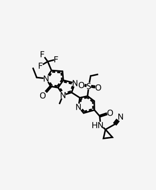 CCn1c(C(F)(F)F)cc2nc(-c3ncc(C(=O)NC4(C#N)CC4)cc3S(=O)(=O)CC)n(C)c2c1=O